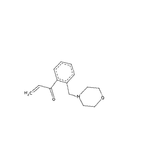 C=CC(=O)c1ccccc1CN1CCOCC1